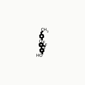 CCCC1CCC(COc2ccc(-c3ccc(CO)cc3)c(C(F)F)c2F)CC1